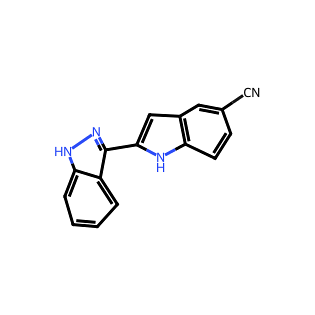 N#Cc1ccc2[nH]c(-c3n[nH]c4ccccc34)cc2c1